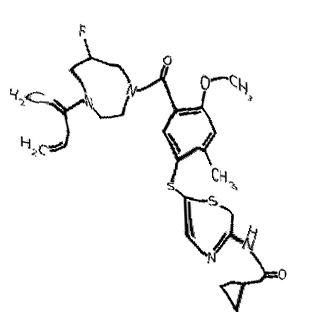 C=CC(=C)N1CCN(C(=O)c2cc(Sc3cnc(NC(=O)C4CC4)s3)c(C)cc2OC)CC(F)C1